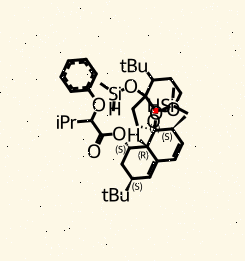 CC(C)C(Oc1ccccc1)C(=O)O[C@H]1C[C@H](C(C)(C)C)C=C2C=C[C@H](C)[C@](CCC3(O[SiH](C)C)C(=O)OCCC3C(C)(C)C)(O[SiH](C)C)[C@H]21